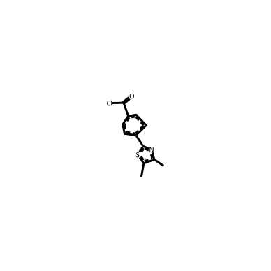 Cc1nc(-c2ccc(C(=O)Cl)cc2)sc1C